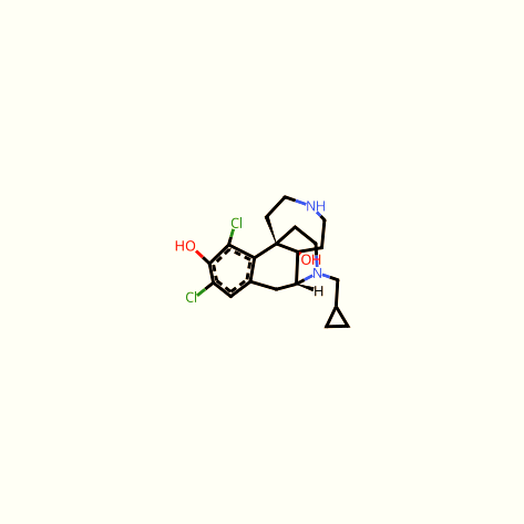 Oc1c(Cl)cc2c(c1Cl)[C@@]13CCNCC[C@@]1(O)[C@@H](C2)N(CC1CC1)CC3